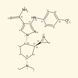 CN(C)[C@@H]1CC[C@H](n2cc(C(N)=O)c(Nc3ccc(C(F)(F)F)cc3)n2)[C@@H](C2=NC2)C1